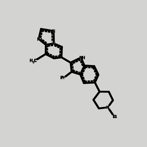 CCN1CCC(c2ccc3[nH]c(-c4cc(C)c5ncnn5c4)c(C(C)C)c3c2)CC1